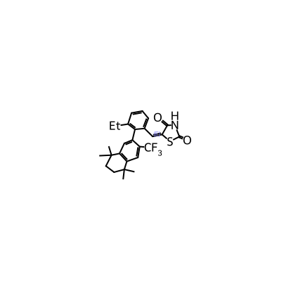 CCc1cccc(/C=C2/SC(=O)NC2=O)c1-c1cc2c(cc1C(F)(F)F)C(C)(C)CCC2(C)C